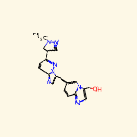 CN1CC(c2ccc3ncc(Cc4ccc5ncc(CO)n5c4)n3n2)C=N1